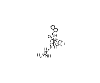 CC(C)CC1[C@@H]2C3CNC1(C(=O)NCc1cccc4ccccc14)CC3CN2CCCNC(=N)N